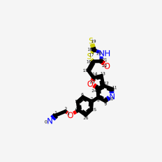 N#CCOc1ccc(-c2cncc3cc(C=C4SC(=S)NC4=O)oc23)cc1